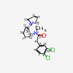 CN(C(=O)Cc1ccc(Cl)c(Cl)c1)[C@H]1CCCC[C@@H]1N1CC=CC1